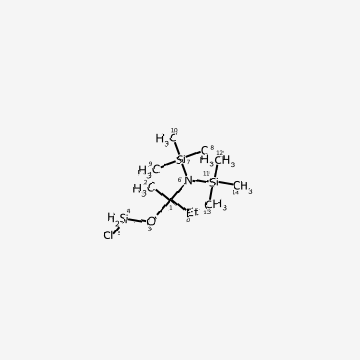 CCC(C)(O[SiH2]Cl)N([Si](C)(C)C)[Si](C)(C)C